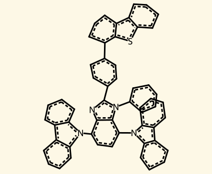 c1ccc(-n2c(-c3ccc(-c4cccc5c4sc4ccccc45)cc3)nc3c(-n4c5ccccc5c5ccccc54)ccc(-n4c5ccccc5c5ccccc54)c32)cc1